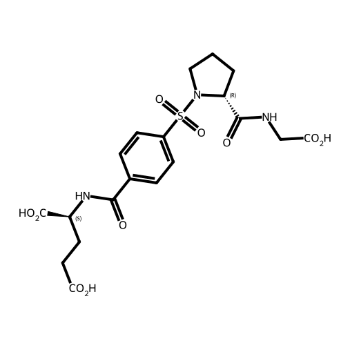 O=C(O)CC[C@H](NC(=O)c1ccc(S(=O)(=O)N2CCC[C@@H]2C(=O)NCC(=O)O)cc1)C(=O)O